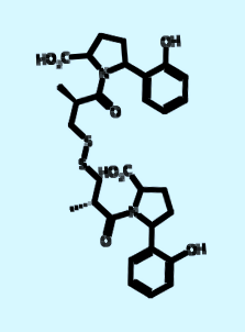 C[C@H](CSSC[C@@H](C)C(=O)N1C(C(=O)O)CCC1c1ccccc1O)C(=O)N1C(C(=O)O)CCC1c1ccccc1O